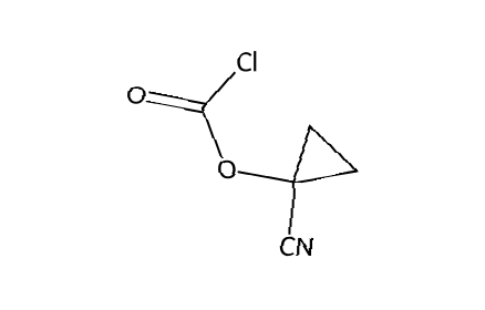 N#CC1(OC(=O)Cl)CC1